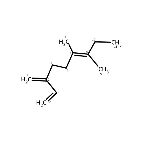 C=CC(=C)CC/C(C)=C(\C)CC